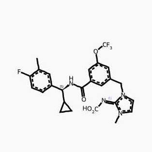 Cc1cc([C@@H](NC(=O)c2cc(Cn3ccn(C)/c3=N\C(=O)O)cc(OC(F)(F)F)c2)C2CC2)ccc1F